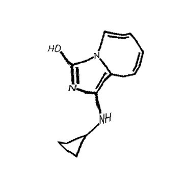 Oc1nc(NC2CC2)c2ccccn12